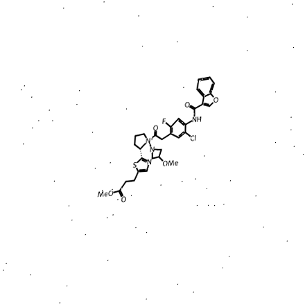 COC(=O)CCc1cnc([C@@H]2CCC[N+]2(C(=O)Cc2cc(Cl)c(NC(=O)c3coc4ccccc34)cc2F)N2CC(OC)C2)s1